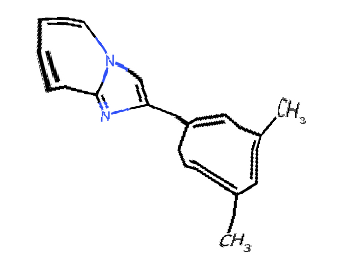 Cc1cc(C)cc(-c2cn3ccccc3n2)c1